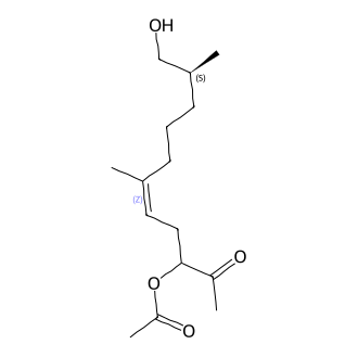 CC(=O)OC(C/C=C(/C)CCC[C@H](C)CO)C(C)=O